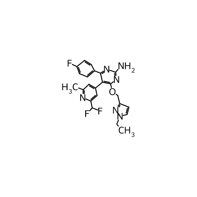 CCn1ccc(COc2nc(N)nc(-c3ccc(F)cc3)c2-c2cc(C)nc(C(F)F)c2)n1